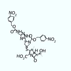 C[C@@H](O)[C@H]1C(=O)N2C(C(=O)O)=C(S[C@H]3C[C@@H](c4nc(CNC(=O)OCc5ccc([N+](=O)[O-])cc5)n[nH]4)N(C(=O)OCc4ccc([N+](=O)[O-])cc4)C3)[C@H](C)[C@H]12